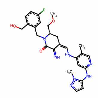 COC[C@H]1C/C(=C/Nc2cc(Nc3ccnn3C)ncc2C)C(=N)C(=O)N1Cc1cc(F)ccc1CO